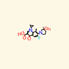 Cc1c(N2CCCC(C)(O)C2)c(F)cc2c(=O)c(C(=O)O)cn(C3CC3)c12